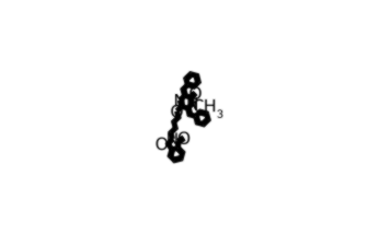 Cn1c(=Cc2ccccc2)c(OCCCCN2C(=O)c3ccccc3C2=O)nc(=Cc2ccccc2)c1=O